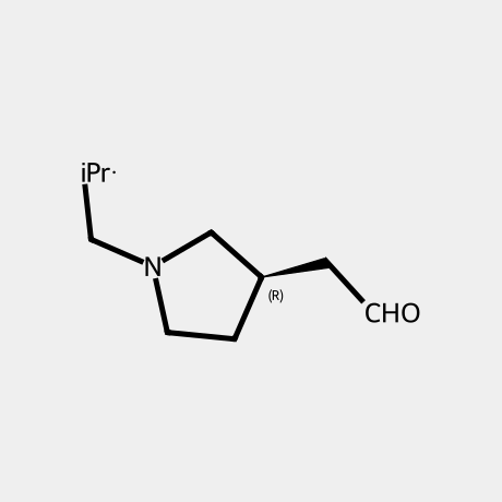 C[C](C)CN1CC[C@H](CC=O)C1